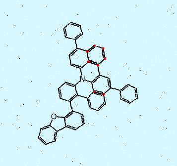 c1ccc(-c2ccc(N(c3cccc(-c4cccc5c4oc4ccccc45)c3-c3ccccc3)c3ccc(-c4ccccc4)c4ccccc34)c(-c3ccccc3)c2)cc1